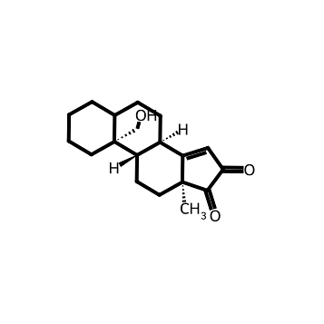 C[C@]12CC[C@H]3[C@@H](CCC4CCCC[C@@]43CO)C1=CC(=O)C2=O